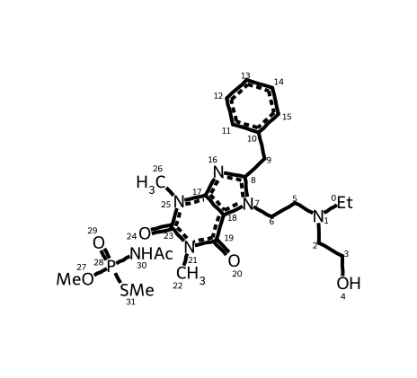 CCN(CCO)CCn1c(Cc2ccccc2)nc2c1c(=O)n(C)c(=O)n2C.COP(=O)(NC(C)=O)SC